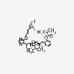 CCCCCCOc1nsnc1C1=CCC[N+](C)(C(OC(=O)Cc2ccccc2OC(=O)C(C)C)C(C)C)C1.[I-]